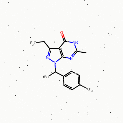 Cc1nc2c(c(CC(F)(F)F)nn2C(c2ccc(C(F)(F)F)cc2)C(C)(C)C)c(=O)[nH]1